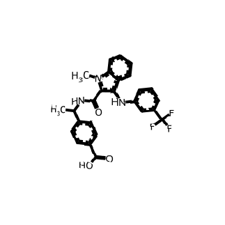 CC(NC(=O)c1c(Nc2cccc(C(F)(F)F)c2)c2ccccc2n1C)c1ccc(C(=O)O)cc1